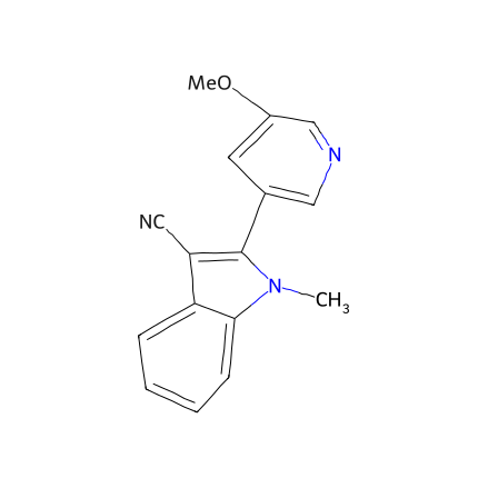 COc1cncc(-c2c(C#N)c3ccccc3n2C)c1